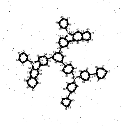 c1ccc(-c2ccc(N(c3ccc(-c4ccccc4)cc3)c3ccc(-c4cc(-c5ccc6c(c5)c5cc7ccccc7cc5n6-c5ccccc5)cc(-c5ccc6c(c5)c5cc7ccccc7cc5n6-c5ccccc5)c4)cc3)cc2)cc1